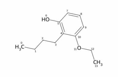 CCCCc1c(O)cccc1OCC